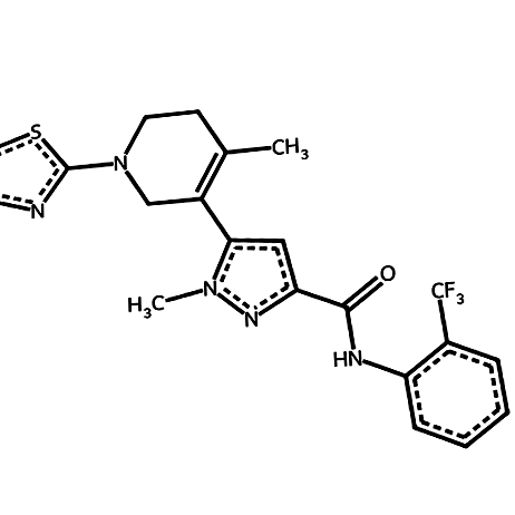 CC1=C(c2cc(C(=O)Nc3ccccc3C(F)(F)F)nn2C)CN(c2nccs2)CC1